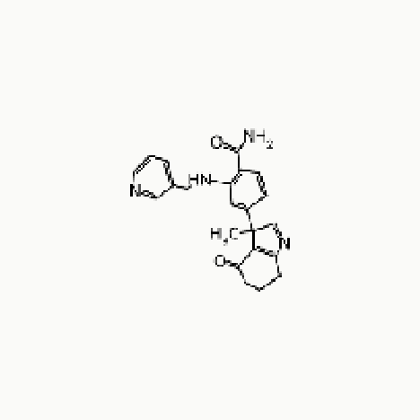 CC1(c2ccc(C(N)=O)c(NCc3cccnc3)c2)C=NC2=C1C(=O)CCC2